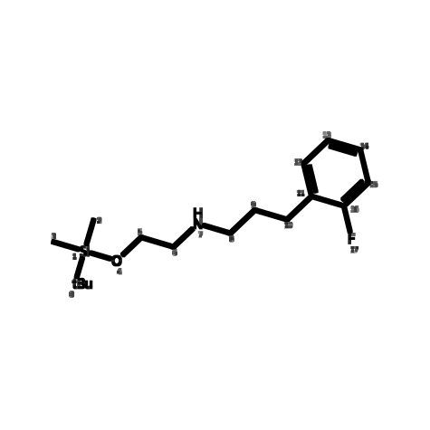 CC(C)(C)[Si](C)(C)OCCNCCCc1ccccc1F